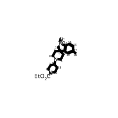 CCOC(=O)N1CCC(N2CCC3(CC2)CN(C(C)=O)c2ccc(C)cc23)CC1